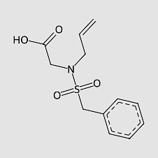 C=CCN(CC(=O)O)S(=O)(=O)Cc1ccccc1